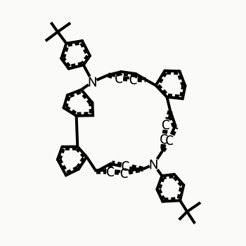 CC(C)(C)c1ccc(N2c3ccc(cc3)-c3ccccc3-c3ccc(cc3)N(c3ccc(C(C)(C)C)cc3)c3ccc(cc3)-c3ccccc3-c3ccc2cc3)cc1